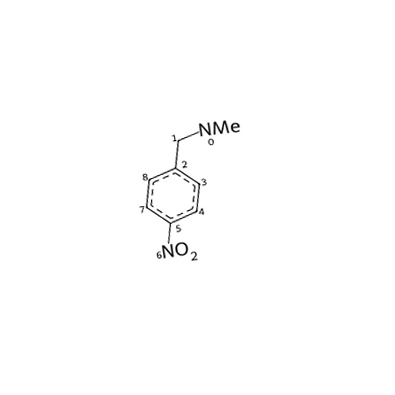 [CH2]NCc1ccc([N+](=O)[O-])cc1